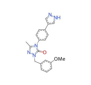 COc1cccc(Cn2nc(C)n(-c3ccc(-c4cn[nH]c4)cc3)c2=O)c1